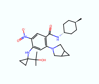 CC(C)(O)C1(Nc2cc(N3CC4CC4C3)c(C(=O)N[C@H]3CC[C@H](C)CC3)cc2[N+](=O)[O-])CC1